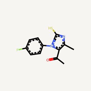 CC(=O)c1c(C)nc(S)n1-c1ccc(F)cc1